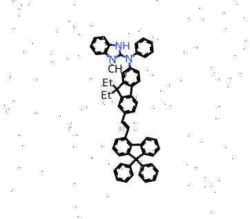 CCC1(CC)c2cc(/C=C/c3cccc4c3-c3ccccc3C4(c3ccccc3)c3ccccc3)ccc2-c2ccc(N(c3ccccc3)C3Nc4ccccc4N3C)cc21